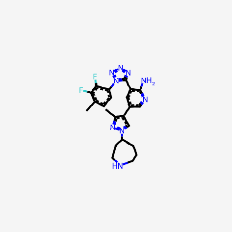 Cc1ccc(-n2nnnc2-c2cc(-c3cn(C4CCCNCC4)nc3C)cnc2N)c(F)c1F